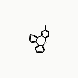 Cc1ccc2c(c1)-c1ccccc1-c1ccccc1O2